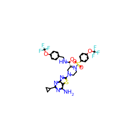 Nc1nc(C2CC2)nc2nc(N3CCN(S(=O)(=O)c4ccc(OC(F)(F)F)cc4)[C@@H](C(=O)NCc4ccc(OC(F)(F)F)cc4)C3)sc12